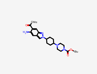 COC(=O)c1cc2nn(C3CCC(N4CCN(C(=O)OC(C)(C)C)CC4)CC3)cc2cc1N